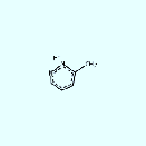 [CH2]c1cccnn1.[H+]